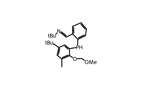 COCOc1c(C)cc(C(C)(C)C)cc1Pc1ccccc1/C=N/C(C)(C)C